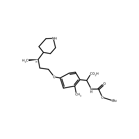 Cc1cc(OCC[C@@H](C)C2CCNCC2)ccc1C(NC(=O)OC(C)(C)C)C(=O)O